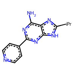 CC(C)c1nc2c(N)nc(-c3ccncc3)nc2[nH]1